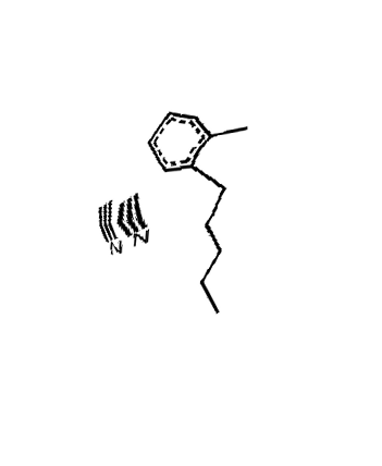 C#N.C#N.CCCCCc1ccccc1C